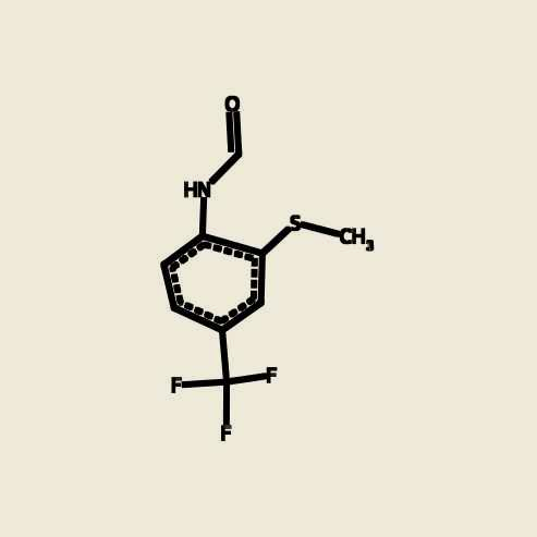 CSc1cc(C(F)(F)F)ccc1NC=O